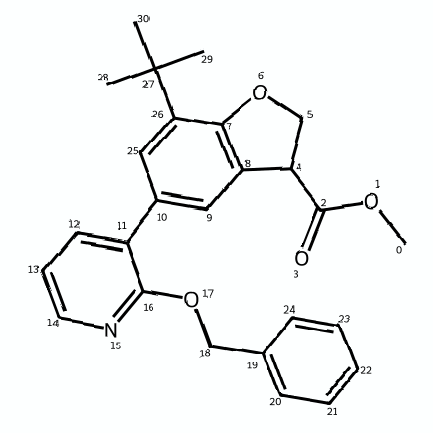 COC(=O)C1COc2c1cc(-c1cccnc1OCc1ccccc1)cc2C(C)(C)C